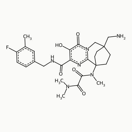 Cc1cc(CNC(=O)c2nc3n(c(=O)c2O)CC2(CN)CCC3(N(C)C(=O)C(=O)N(C)C)CC2)ccc1F